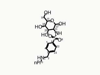 CCCNCc1ccc(S(=O)(=O)NC2C(O)OC(CO)C(O)C2O)cc1